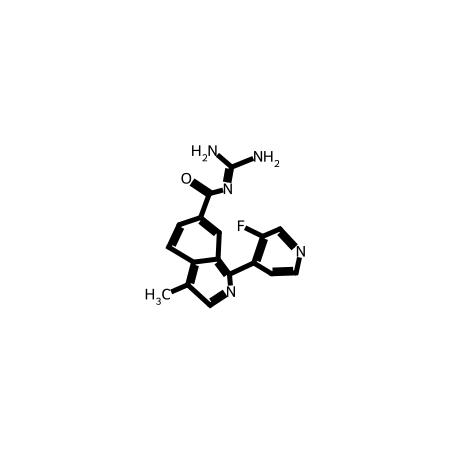 Cc1cnc(-c2ccncc2F)c2cc(C(=O)N=C(N)N)ccc12